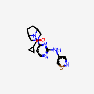 O=C(C1CC1)N1C2CCC1CN(c1ccnc(Nc3cnsc3)n1)C2